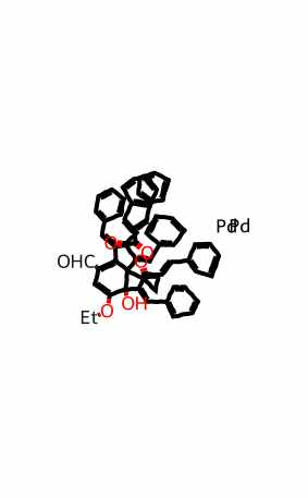 CCOC1=CC(C=O)=C(C(=Cc2ccccc2)C(=O)C=Cc2ccccc2)C(C(=Cc2ccccc2)C(=O)C=Cc2ccccc2)(C2CC2)C1(O)C(=Cc1ccccc1)C(=O)C=Cc1ccccc1.[Pd].[Pd]